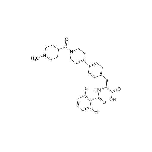 CN1CCC(C(=O)N2CC=C(c3ccc(C[C@H](NC(=O)c4c(Cl)cccc4Cl)C(=O)O)cc3)CC2)CC1